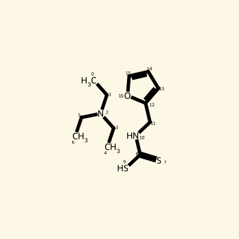 CCN(CC)CC.S=C(S)NCc1ccco1